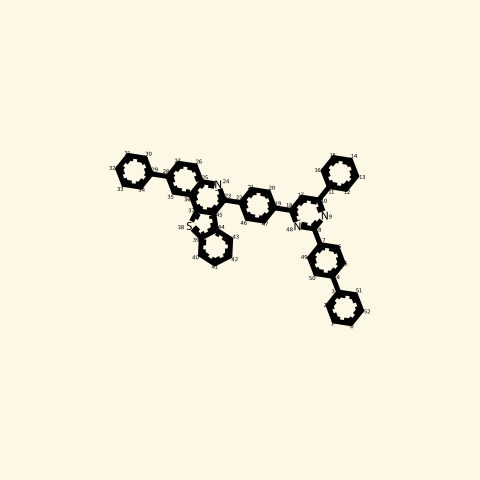 c1ccc(-c2ccc(-c3nc(-c4ccccc4)cc(-c4ccc(-c5nc6ccc(-c7ccccc7)cc6c6sc7ccccc7c56)cc4)n3)cc2)cc1